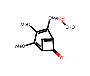 COc1c2cc(c(OC)c1OC)C2=O.O=CO